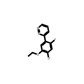 CCOc1cc(-c2cccnn2)c(F)cc1Cl